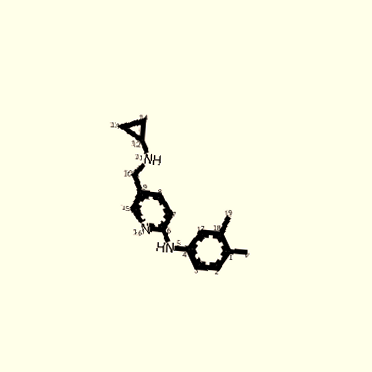 Cc1ccc(Nc2ccc(CNC3CC3)cn2)cc1C